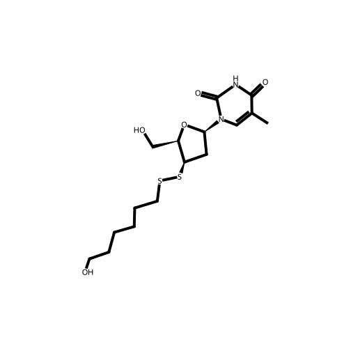 Cc1cn([C@H]2C[C@@H](SSCCCCCCO)[C@@H](CO)O2)c(=O)[nH]c1=O